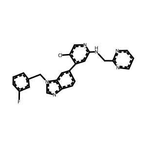 Fc1cccc(Cn2cnc3ccc(-c4cc(NCc5ncccn5)ncc4Cl)cc32)c1